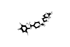 CC(Oc1cc(F)c(F)cc1F)C1CCN(C(=O)[C@H]2C[C@@]3(COC(=O)N3)C2)CC1